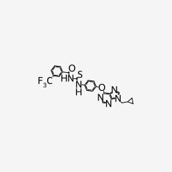 O=C(NC(=S)Nc1ccc(Oc2ncnc3c2ncn3CC2CC2)cc1)c1cccc(C(F)(F)F)c1